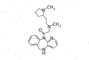 CN(CCC1CCCN1C)CC(=O)N1c2ccccc2CNc2cccnc21